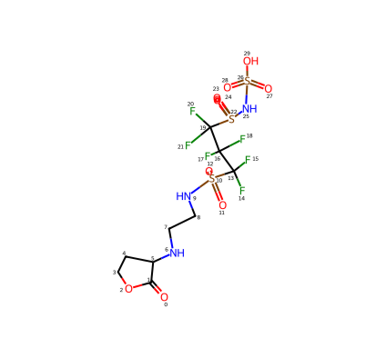 O=C1OCCC1NCCNS(=O)(=O)C(F)(F)C(F)(F)C(F)(F)S(=O)(=O)NS(=O)(=O)O